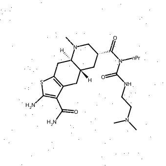 CCCN(C(=O)NCCN(C)C)C(=O)[C@@H]1C[C@@H]2Cc3c(sc(N)c3C(N)=O)C[C@H]2N(C)C1